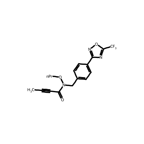 CC#CC(=O)N(Cc1ccc(-c2noc(C(F)(F)F)n2)cc1)OCCC